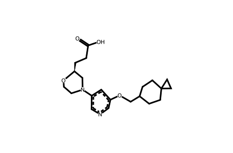 O=C(O)CC[C@H]1CN(c2cncc(OCC3CCC4(CC3)CC4)c2)CCO1